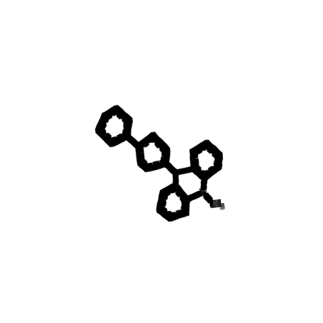 CN1c2ccccc2C(c2ccc(-c3ccccc3)cc2)c2ccccc21